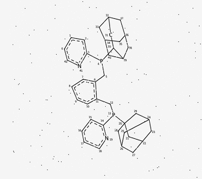 c1ccc(P(Cc2ccccc2CP(c2ccccn2)C23CC4CC(CC(C4)C2)C3)C2CC3CC4CC(C3)CC2C4)nc1